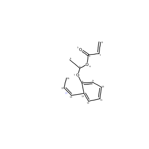 C=CC(=O)OC(C)Oc1ccccc1/C=C\C